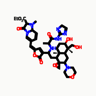 CCOC(=O)C1C(=O)N2C=C(/C=C3\C=C(C(CC4C5(CO5)C(N5CCOCC5)CC5[C@]4(C)CC[C@@H](O)[C@@]5(C)CO)NC(C)C(=O)NC4=NCC=N4)C(=O)O3)C=CC2N1C